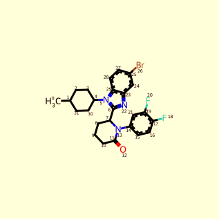 CC1CCC(n2c(C3CCCC(=O)N3c3ccc(F)c(F)c3)nc3cc(Br)ccc32)CC1